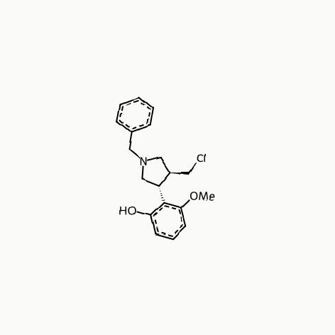 COc1cccc(O)c1[C@@H]1CN(Cc2ccccc2)C[C@H]1CCl